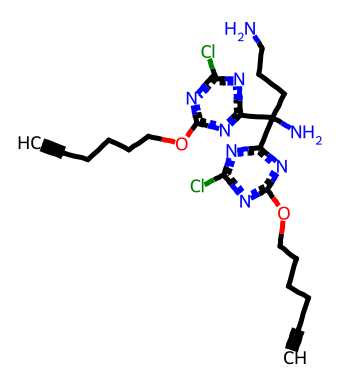 C#CCCCCOc1nc(Cl)nc(C(N)(CCCN)c2nc(Cl)nc(OCCCCC#C)n2)n1